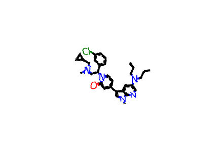 CCCN(CCC)c1cnc2c(c1)c(-c1ccn(C(CN(C)CC3CC3)c3cccc(Cl)c3)c(=O)c1)cn2C